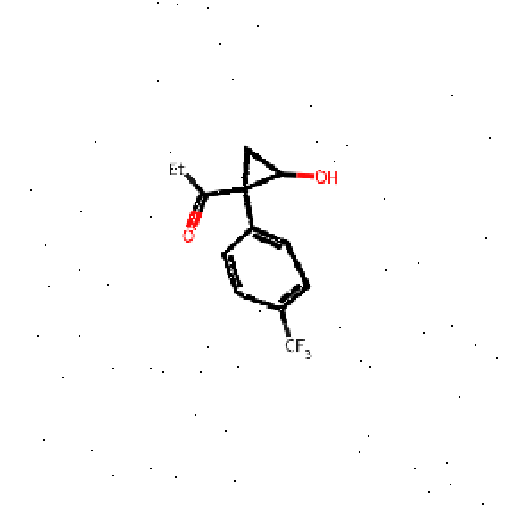 CCC(=O)C1(c2ccc(C(F)(F)F)cc2)CC1O